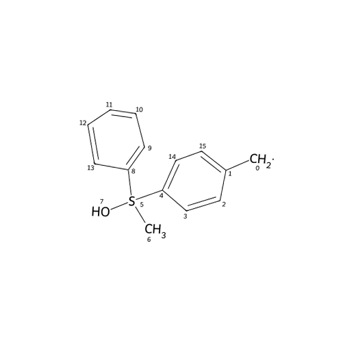 [CH2]c1ccc(S(C)(O)c2ccccc2)cc1